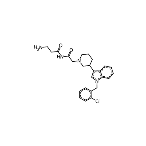 NCCC(=O)NC(=O)CN1CCCC(c2cn(Cc3ccccc3Cl)c3ccccc23)C1